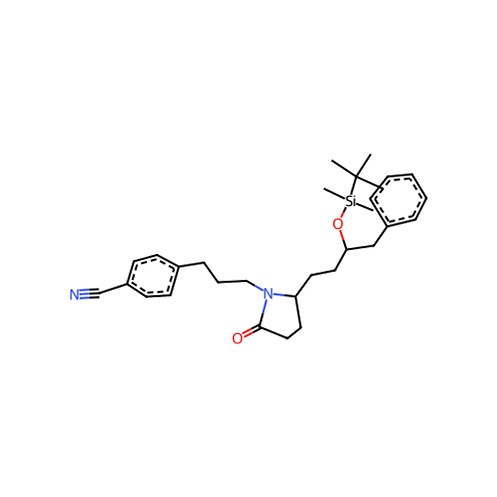 CC(C)(C)[Si](C)(C)OC(CCC1CCC(=O)N1CCCc1ccc(C#N)cc1)Cc1ccccc1